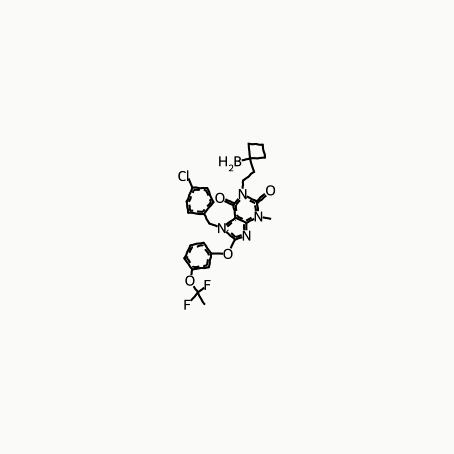 BC1(CCn2c(=O)c3c(nc(Oc4cccc(OC(C)(F)F)c4)n3Cc3ccc(Cl)cc3)n(C)c2=O)CCC1